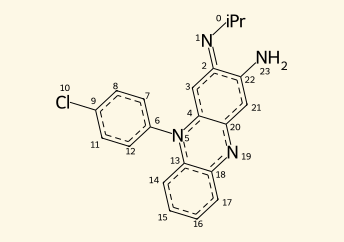 CC(C)N=c1cc2n(-c3ccc(Cl)cc3)c3ccccc3nc-2cc1N